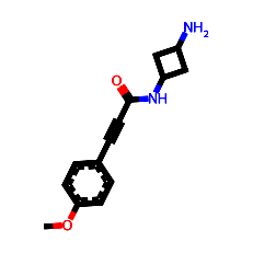 COc1ccc(C#CC(=O)NC2CC(N)C2)cc1